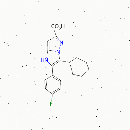 O=C(O)c1cc2[nH]c(-c3ccc(F)cc3)c(C3CCCCC3)n2n1